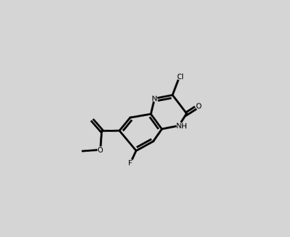 C=C(OC)c1cc2nc(Cl)c(=O)[nH]c2cc1F